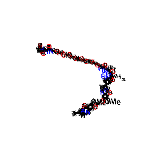 COc1cc2c(cc1OCCCOc1cc3c(cc1OC)C(=O)N1C=C(C4CC4)C[C@H]1C=N3)N=C[C@@H]1CC(c3ccc(NC(=O)[C@H](C)NC(=O)[C@@H](NC(=O)CCOCCOCCOCCOCCOCCOCCOCCOCCNC(=O)CCN4C(=O)C=CC4=O)C(C)C)cc3)=CN1C2=O